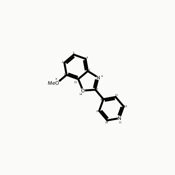 COc1cccc2nc(-c3ccncc3)oc12